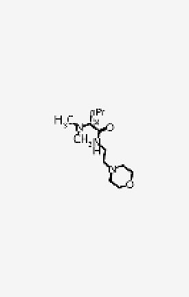 CCC[C@@H](C(=O)NCCN1CCOCC1)N(C)C